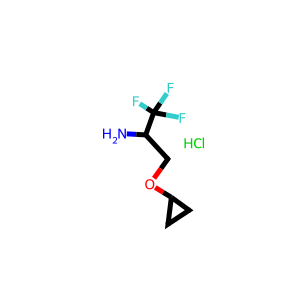 Cl.NC(COC1CC1)C(F)(F)F